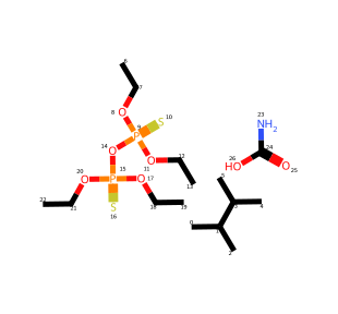 CC(C)C(C)C.CCOP(=S)(OCC)OP(=S)(OCC)OCC.NC(=O)O